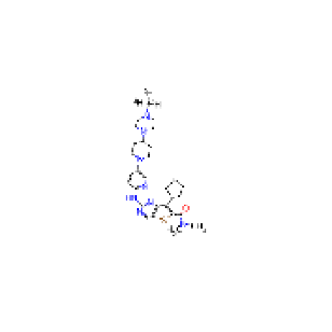 [2H]C([2H])([2H])N1CCN(C2CCN(c3ccc(Nc4ncc5sc(C(=O)N(C)C)c(C6CCCC6)c5n4)nc3)CC2)CC1